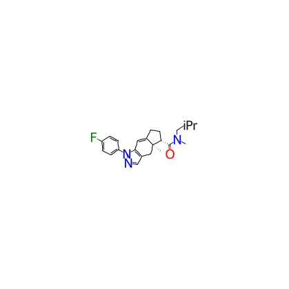 CC(C)CN(C)C(=O)[C@H]1CCC2=Cc3c(cnn3-c3ccc(F)cc3)C[C@@]21C